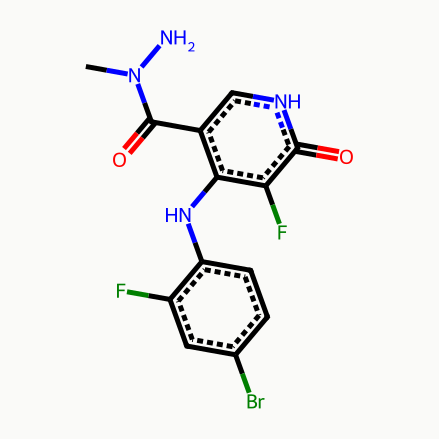 CN(N)C(=O)c1c[nH]c(=O)c(F)c1Nc1ccc(Br)cc1F